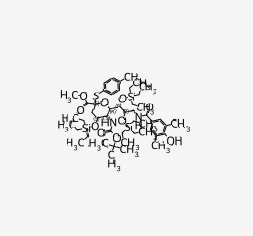 CC[Si](CC)(CC)O[C@@H]([C@@H]1O[C@@](Sc2ccc(C)cc2)(C(=O)OC)C[C@H](O[Si](CC)(CC)CC)[C@H]1NC(=O)OC(C)(C)C)[C@@H](CNC(=O)c1cc(C)c(O)c(C)c1)O[Si](CC)(CC)CC